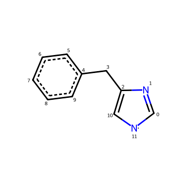 C1=NC(Cc2ccccc2)=C[N]1